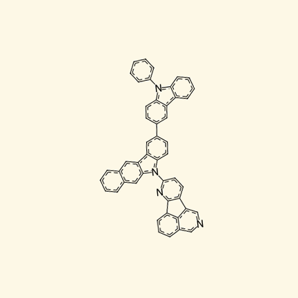 c1ccc(-n2c3ccccc3c3cc(-c4ccc5c(c4)c4cc6ccccc6cc4n5-c4ccc5c(n4)-c4cccc6cncc-5c46)ccc32)cc1